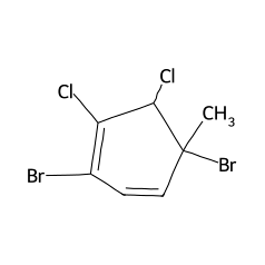 CC1(Br)C=CC(Br)=C(Cl)C1Cl